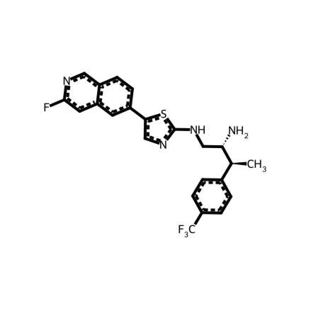 C[C@@H](c1ccc(C(F)(F)F)cc1)[C@@H](N)CNc1ncc(-c2ccc3cnc(F)cc3c2)s1